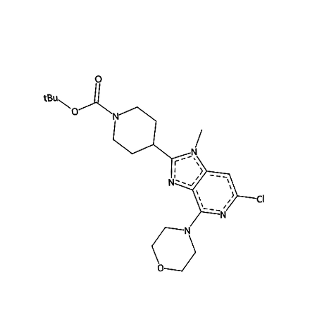 Cn1c(C2CCN(C(=O)OC(C)(C)C)CC2)nc2c(N3CCOCC3)nc(Cl)cc21